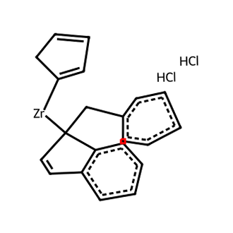 C1=CC[C]([Zr][C]2(Cc3ccccc3)C=Cc3ccccc32)=C1.Cl.Cl